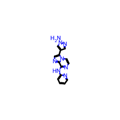 Nn1cc(-c2cnc3c(Nc4ccccn4)nccn23)cn1